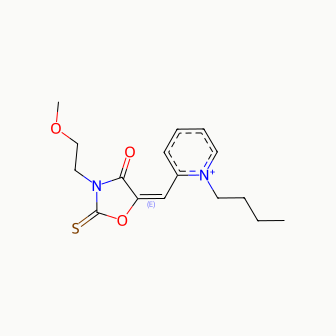 CCCC[n+]1ccccc1/C=C1/OC(=S)N(CCOC)C1=O